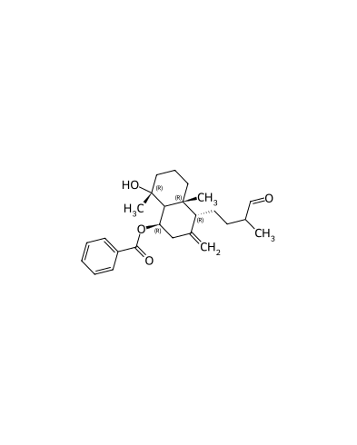 C=C1C[C@@H](OC(=O)c2ccccc2)C2[C@](C)(CCC[C@@]2(C)O)[C@@H]1CCC(C)C=O